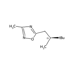 Cc1noc(C[C@H](C)C(C)(C)C)n1